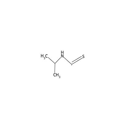 CC(C)N[C]=S